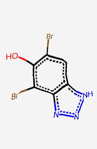 Oc1c(Br)cc2[nH]nnc2c1Br